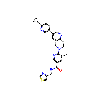 Cc1cc(C(=O)NCc2cscn2)cnc1N1CCc2ncc(-c3ccc(C4CC4)nc3)cc2C1